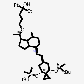 CCC(O)(CC)CCCO[C@H](C)C1CCC2/C(=C/C=C3C[C@@H](O[Si](C)(C)C(C)(C)C)C4(CC4)[C@H](O[Si](C)(C)C(C)(C)C)C3)CCC(C)C21